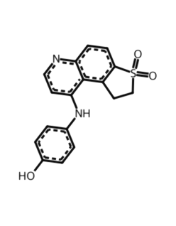 O=S1(=O)CCc2c1ccc1nccc(Nc3ccc(O)cc3)c21